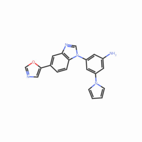 Nc1cc(-n2cccc2)cc(-n2cnc3cc(-c4cnco4)ccc32)c1